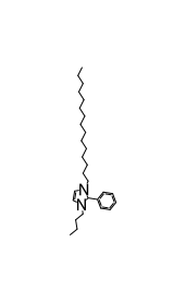 CCCCCCCCCCCCCCCN1C=CN(CCCC)C1c1ccccc1